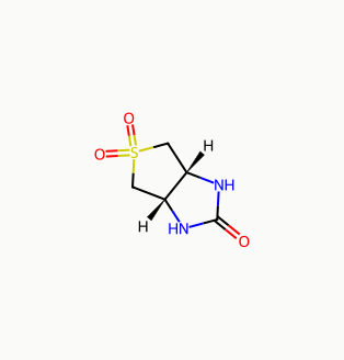 O=C1N[C@H]2CS(=O)(=O)C[C@H]2N1